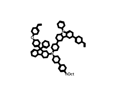 C=CC1=CCC(OC2CC=C(C3(C4=CCCCC4)C4C=CCCC4C4CCC(N(C5CCC(C6=CC=C(CCCCCCCC)CC6)CC5)C5CCC(C6CCC7C(C6)C6CC(C8=CCC(C=C)CC8)CC=C6N7C6CC=CCC6)CC5)CC43)CC2)CC1